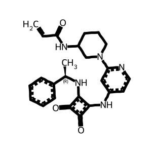 C=CC(=O)NC1CCCN(c2cc(Nc3c(N[C@H](C)c4ccccc4)c(=O)c3=O)ccn2)C1